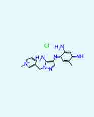 CC1=CC(=Nc2cnn(Cc3ccc[n+](C)c3)c2N)C(N)=CC1=N.[Cl-]